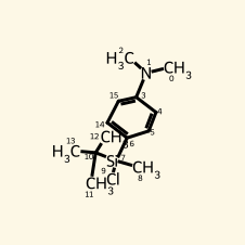 CN(C)c1ccc([Si](C)(Cl)C(C)(C)C)cc1